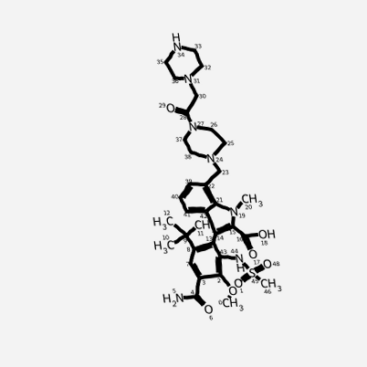 COc1c(C(N)=O)cc(C(C)(C)C)c(-c2c(C(=O)O)n(C)c3c(CN4CCN(C(=O)CN5CCNCC5)CC4)cccc23)c1NS(C)(=O)=O